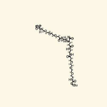 CC(C)(C)OC(=O)NCCOCCOCCOCCC(=O)NCCNC(=O)CC[C@H](NCCNC(=O)CCOCCOCCOCCNC(=O)OC(C)(C)C)C(N)=O